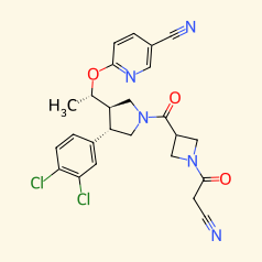 C[C@H](Oc1ccc(C#N)cn1)[C@H]1CN(C(=O)C2CN(C(=O)CC#N)C2)C[C@@H]1c1ccc(Cl)c(Cl)c1